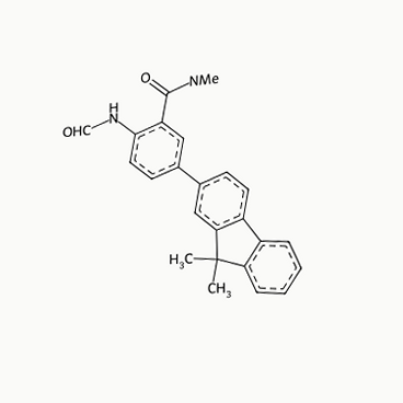 CNC(=O)c1cc(-c2ccc3c(c2)C(C)(C)c2ccccc2-3)ccc1NC=O